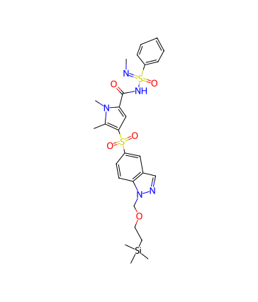 CN=S(=O)(NC(=O)c1cc(S(=O)(=O)c2ccc3c(cnn3COCC[Si](C)(C)C)c2)c(C)n1C)c1ccccc1